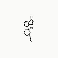 CCCN1CCCC(O)(c2cccc3[nH]ccc23)C1